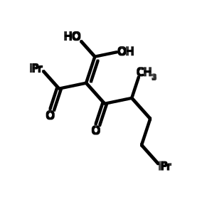 CC(C)CCC(C)C(=O)C(C(=O)C(C)C)=C(O)O